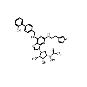 CCCN(C(=O)C(F)(F)F)[C@H]1C[C@@H](n2cnc3c(NCc4ccc(-c5ccccc5C#N)cc4)nc(NCCc4c[nH]cn4)nc32)[C@H](O)[C@@H]1O